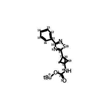 CC(C)(C)OC(=O)NC12CC(c3nc(-c4ccccc4)ns3)(C1)C2